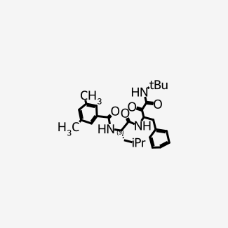 Cc1cc(C)cc(C(=O)N[C@@H](CC(C)C)C(=O)NC(Cc2ccccc2)C(=O)C(=O)NC(C)(C)C)c1